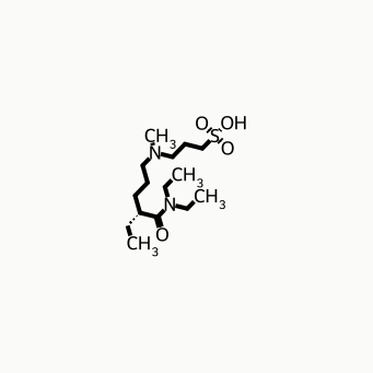 CC[C@H](CCCN(C)CCCS(=O)(=O)O)C(=O)N(CC)CC